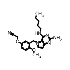 CCCCCNc1nc(N)nc2ccn(Cc3cc(OCC#N)ccc3OC)c12